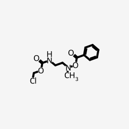 CN(CCNC(=O)OCCl)OC(=O)c1ccccc1